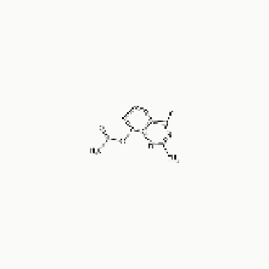 CC(=O)Oc1cccc2c(Cl)nc(C)nc12